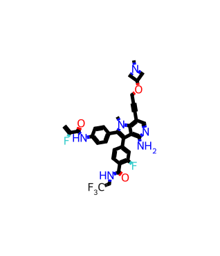 C=C(F)C(=O)Nc1ccc(-c2c(-c3ccc(C(=O)NCC(F)(F)F)c(F)c3)c3c(N)ncc(C#CCOC4CN(C)C4)c3n2C)cc1